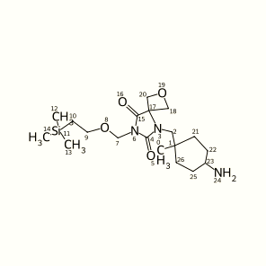 CC1(CN2C(=O)N(COCC[Si](C)(C)C)C(=O)C23COC3)CCC(N)CC1